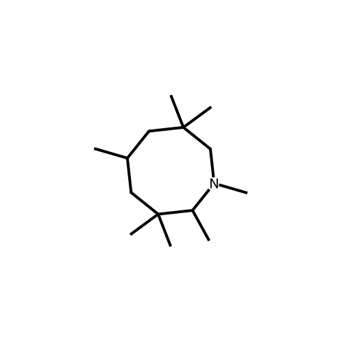 CC1CC(C)(C)CN(C)C(C)C(C)(C)C1